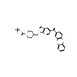 C=C(c1ccc2c(c1)Nc1ccccc1S2)c1cnc2c(cnn2CC2CCN(C(=O)OC(C)(C)C)CC2)c1